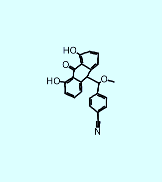 COC(c1ccc(C#N)cc1)C1c2cccc(O)c2C(=O)c2c(O)cccc21